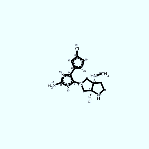 CN[C@]12CCN[C@H]1CN(c1sc(N)nc1-c1cc(Cl)cs1)C2